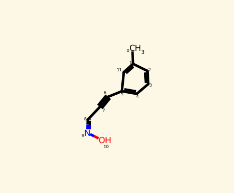 Cc1cccc(C#C/[C]=N\O)c1